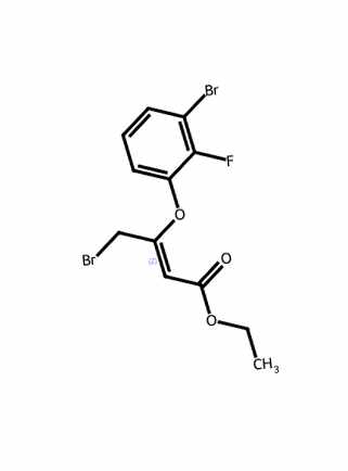 CCOC(=O)/C=C(/CBr)Oc1cccc(Br)c1F